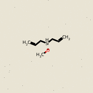 C=CC[SiH](CC=C)OC